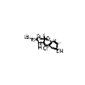 CC(C)(C)OC(=O)N[C@@H]1[C@@H](Cl)c2cc(C#N)ccc2OC1(C)C